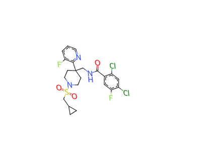 O=C(NCC1(c2ncccc2F)CCN(S(=O)(=O)CC2CC2)CC1)c1cc(F)c(Cl)cc1Cl